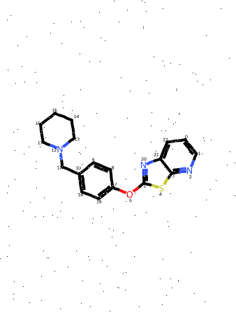 c1cnc2sc(Oc3ccc(CN4CCCCC4)cc3)nc2c1